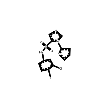 O=S(=O)(Nc1ccc(F)c(Cl)c1)c1cncn1-c1cccs1